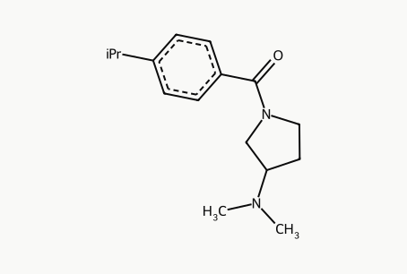 CC(C)c1ccc(C(=O)N2CCC(N(C)C)C2)cc1